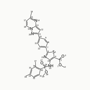 COC(=O)c1sc(-c2ccc(-c3cc4nc(C)ccn4n3)cc2)nc1NP(=O)(OC)c1ccc(C)cc1C